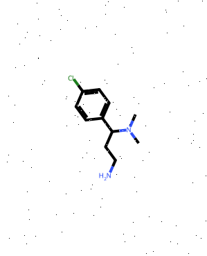 CN(C)C(CCN)c1ccc(Cl)cc1